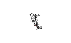 Cc1ccc(-n2nc(C(C)(C)C)cc2NC(=O)Nc2ccc(CC3CC4CCC(C3)N4C(=O)c3conc3C)cc2)cc1